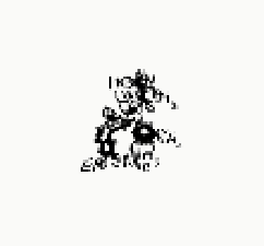 CCOc1cc2c(cc1OC)-c1cc(=Nc3cc(C)cc(C)c3)n(CCNC(=O)c3c(O)nnn3C)c(=O)n1CC2